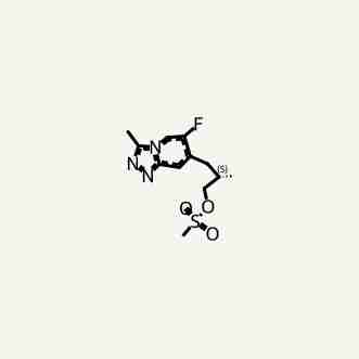 Cc1nnc2cc(C[C@H](C)COS(C)(=O)=O)c(F)cn12